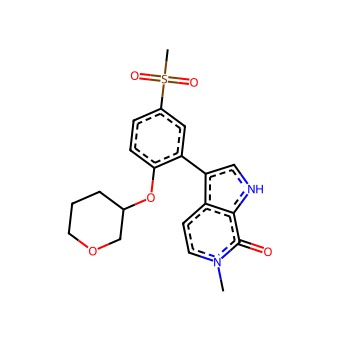 Cn1ccc2c(-c3cc(S(C)(=O)=O)ccc3OC3CCCOC3)c[nH]c2c1=O